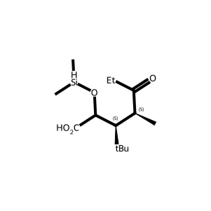 CCC(=O)[C@@H](C)[C@H](C(O[SiH](C)C)C(=O)O)C(C)(C)C